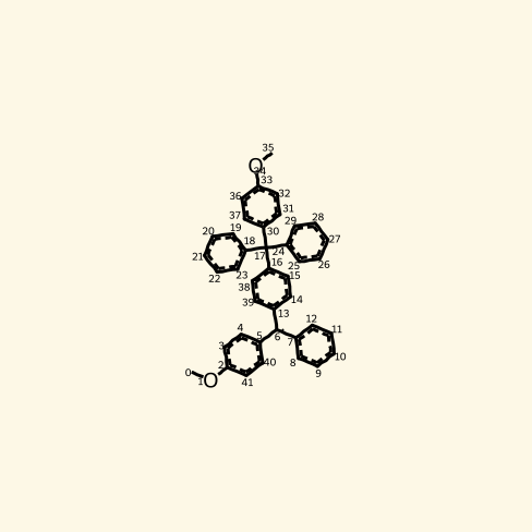 COc1ccc([C](c2ccccc2)c2ccc(C(c3ccccc3)(c3ccccc3)c3ccc(OC)cc3)cc2)cc1